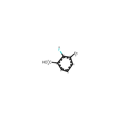 CCc1cccc(C(=O)O)c1F